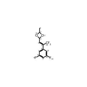 CC1OC(C=C(c2cc(F)cc(F)c2)C(F)(F)F)O1